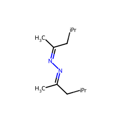 CC(CC(C)C)=NN=C(C)CC(C)C